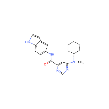 CN(c1cc(C(=O)Nc2ccc3[nH]ccc3c2)ncn1)C1CCCCC1